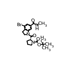 CNC(=O)c1cc(Br)c2c(c1)N(C(=O)[C@@H]1CCCN1C(=O)OC(C)(C)C)CC2